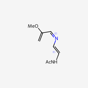 C=C(/C=N\C=C\NC(C)=O)OC